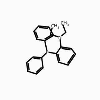 CCN(CC)c1ccccc1P(c1ccccc1)c1ccccc1